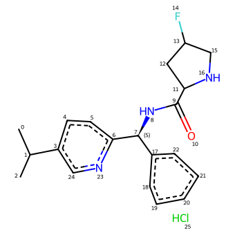 CC(C)c1ccc([C@@H](NC(=O)C2CC(F)CN2)c2ccccc2)nc1.Cl